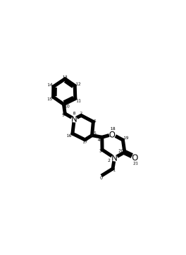 CCN1CC(C2CCN(Cc3ccccc3)CC2)OCC1=O